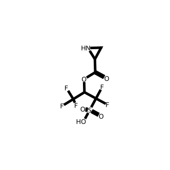 O=C(OC(C(F)(F)F)C(F)(F)S(=O)(=O)O)C1CN1